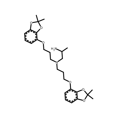 CC(N)CN(CCCOc1cccc2c1OC(C)(C)O2)CCCOc1cccc2c1OC(C)(C)O2